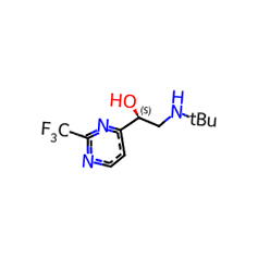 CC(C)(C)NC[C@H](O)c1ccnc(C(F)(F)F)n1